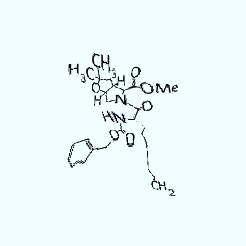 C=CCCCC[C@H](NC(=O)OCc1ccccc1)C(=O)N1C[C@@H]2OC(C)(C)C[C@@H]2[C@H]1C(=O)OC